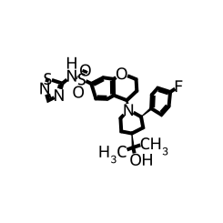 CC(C)(O)[C@H]1CCN([C@@H]2CCOc3cc(S(=O)(=O)Nc4ncns4)ccc32)[C@@H](c2ccc(F)cc2)C1